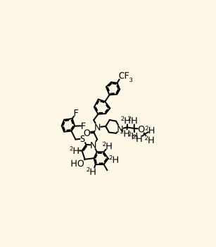 [2H]C1=C(SCc2cccc(F)c2F)N(CC(=O)N(Cc2ccc(-c3ccc(C(F)(F)F)cc3)cc2)C2CCN(C([2H])([2H])C([2H])([2H])OC([2H])([2H])[2H])CC2)c2c([2H])c([2H])c(C)c([2H])c2C1O